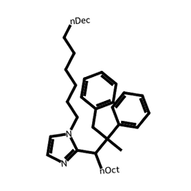 CCCCCCCCCCCCCCCCn1ccnc1C(CCCCCCCC)C(C)(Cc1ccccc1)c1ccccc1